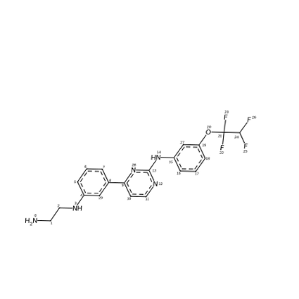 NCCNc1cccc(-c2ccnc(Nc3cccc(OC(F)(F)C(F)F)c3)n2)c1